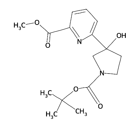 COC(=O)c1cccc(C2(O)CCN(C(=O)OC(C)(C)C)C2)n1